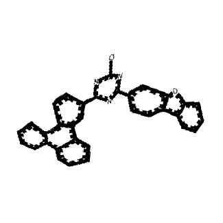 Clc1nc(-c2ccc3c(c2)oc2ccccc23)nc(-c2ccc3c4ccccc4c4ccccc4c3c2)n1